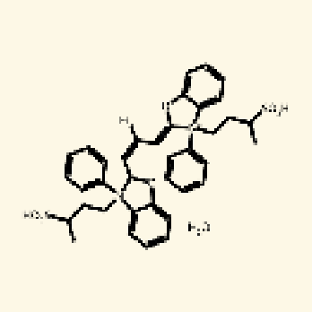 CCC(=CC1Oc2ccccc2[N+]1(CCC(C)S(=O)(=O)O)c1ccccc1)C=C1Oc2ccccc2[N+]1(CCC(C)S(=O)(=O)O)c1ccccc1.O